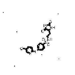 O=C1NC(=O)C(CCNS(=O)(=O)c2ccc(Oc3ccc(Cl)cn3)cc2)N1